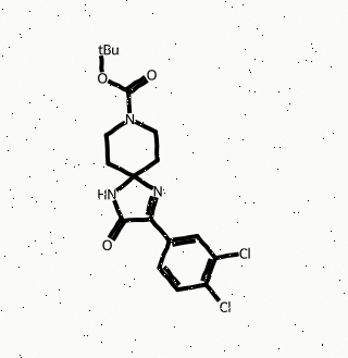 CC(C)(C)OC(=O)N1CCC2(CC1)N=C(c1ccc(Cl)c(Cl)c1)C(=O)N2